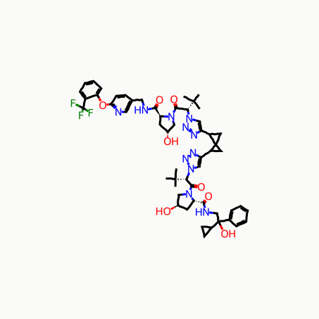 CC(C)(C)[C@@H](C(=O)N1C[C@H](O)C[C@H]1C(=O)NCc1ccc(Oc2ccccc2C(F)(F)F)nc1)n1cc(C2CC23CC3c2cn([C@H](C(=O)N3C[C@H](O)C[C@H]3C(=O)NCC(O)(c3ccccc3)C3CC3)C(C)(C)C)nn2)nn1